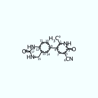 Cc1[nH]c(=O)c(C#N)cc1-c1ccc2c(c1)CNC(=O)N2